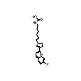 O=C(O)NCCCCCCn1cc(-c2cnc3ccc(Br)cc3n2)cn1